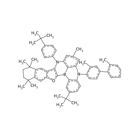 Cc1cc2c3c(c1)N(c1ccc(C(C)(C)C)cc1)c1c(oc4cc5c(cc14)C(C)(C)CCC5(C)C)B3c1cc(C(C)(C)C)ccc1N2c1ccc(-c2ccccc2C)cc1C